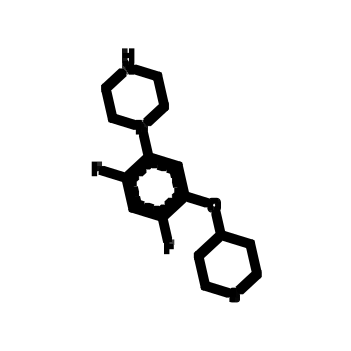 Fc1cc(F)c(N2CCNCC2)cc1OC1CCSCC1